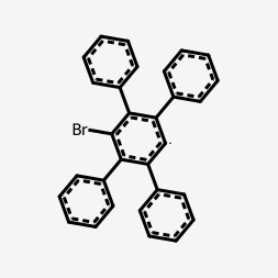 Brc1c(-c2ccccc2)c(-c2ccccc2)[c]c(-c2ccccc2)c1-c1ccccc1